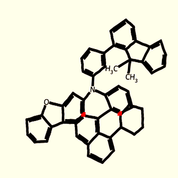 CC1(C)c2ccccc2-c2cccc(-c3cccc(N(c4ccc5c(c4)oc4ccccc45)c4ccccc4-c4cccc5cccc(C6CCCCC6)c45)c3)c21